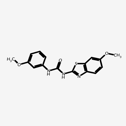 COc1cccc(NC(=O)Nc2nc3ccc(OC)cc3s2)c1